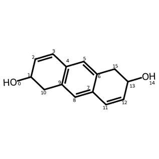 OC1C=Cc2cc3c(cc2C1)C=CC(O)C3